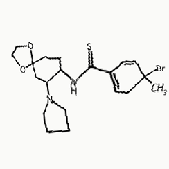 CC1(Br)C=CC(C(=S)NC2CCC3(CC2N2CCCC2)OCCO3)=CC1